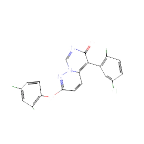 O=c1ncn2nc(Oc3ccc(F)cc3F)ccc2c1-c1cc(Cl)ccc1Cl